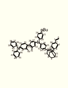 C=Cc1ccc(C23CC4CC(C2)CC(c2ccc(N(c5ccc(CCCC)cc5)c5ccc(-c6ccc(N(c7ccccc7)c7ccccc7)cc6C)c(C)c5)cc2)(C4)C3)cc1